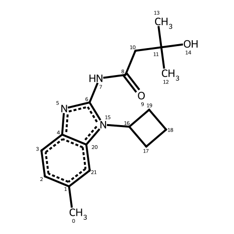 Cc1ccc2nc(NC(=O)CC(C)(C)O)n(C3CCC3)c2c1